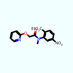 CCOC(=O)c1ccc([N+](=O)[O-])cc1N(C)C(=O)COc1ccccn1